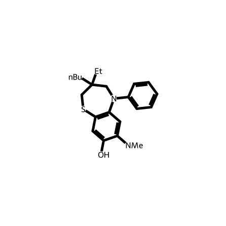 CCCCC1(CC)CSc2cc(O)c(NC)cc2N(c2ccccc2)C1